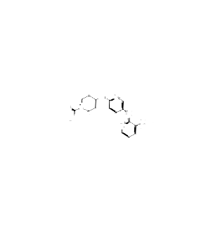 CC(C)(C)OC(=O)N1CCC(Oc2ccc(Nc3ncccc3[N+](=O)[O-])cn2)CC1